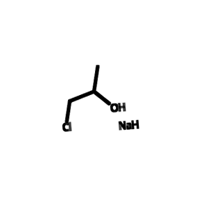 CC(O)CCl.[NaH]